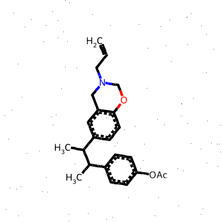 C=CCN1COc2ccc(C(C)C(C)c3ccc(OC(C)=O)cc3)cc2C1